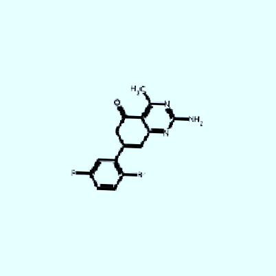 Cc1nc(N)nc2c1C(=O)CC(c1cc(F)ccc1Br)C2